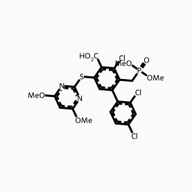 COc1cc(OC)nc(Sc2cc(-c3ccc(Cl)cc3Cl)c(CP(=O)(OC)OC)c(Cl)c2C(=O)O)n1